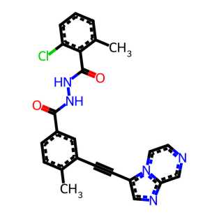 Cc1ccc(C(=O)NNC(=O)c2c(C)cccc2Cl)cc1C#Cc1cnc2cnccn12